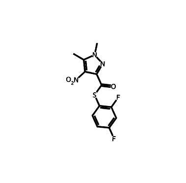 Cc1c([N+](=O)[O-])c(C(=O)Sc2ccc(F)cc2F)nn1C